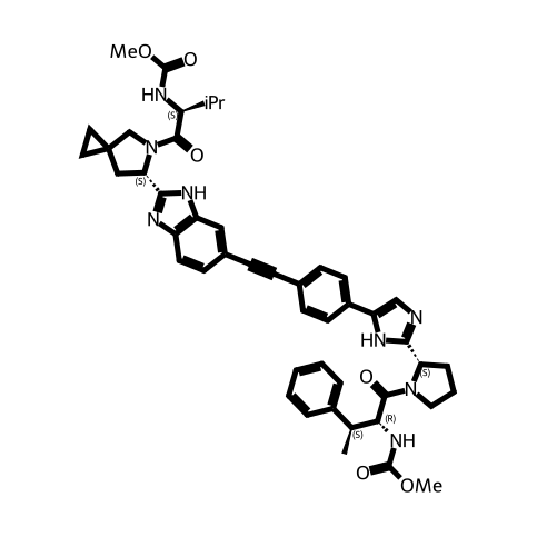 COC(=O)N[C@H](C(=O)N1CC2(CC2)C[C@H]1c1nc2ccc(C#Cc3ccc(-c4cnc([C@@H]5CCCN5C(=O)[C@H](NC(=O)OC)[C@@H](C)c5ccccc5)[nH]4)cc3)cc2[nH]1)C(C)C